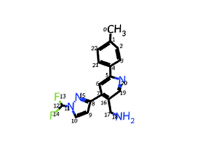 Cc1ccc(-c2cc(-c3ccn(C(F)F)n3)c(CN)cn2)cc1